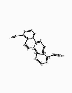 N#Cc1cccc2c1ccc1c3cccc(C#N)c3ccc21